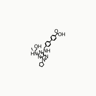 CC[C@H](CO)Nc1nc(NCc2ccc(-c3ccc(C(=O)O)cc3)cc2)c2ncn(C3CCCC3)c2n1